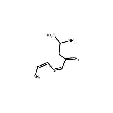 C=C(/C=N\C=C/N)CC(N)C(=O)O